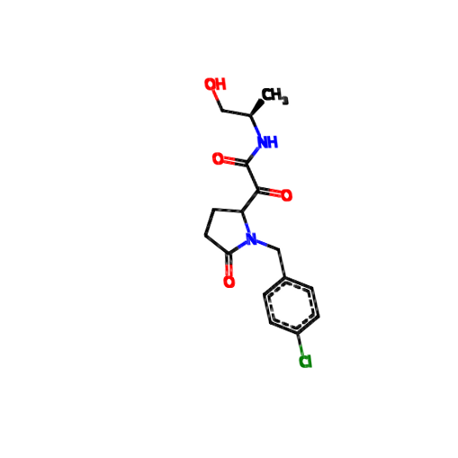 C[C@H](CO)NC(=O)C(=O)C1CCC(=O)N1Cc1ccc(Cl)cc1